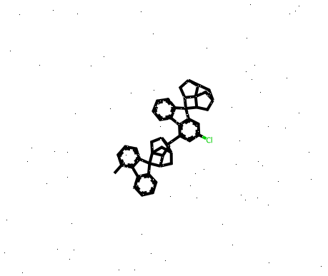 Cc1cccc2c1-c1ccccc1C21C2CC3CC14CC(CC24)C3c1cc(Cl)cc2c1-c1ccccc1C21C2CC3CC4CC1C2(C3)C4